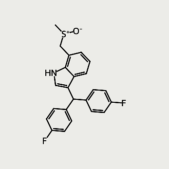 C[S+]([O-])Cc1cccc2c(C(c3ccc(F)cc3)c3ccc(F)cc3)c[nH]c12